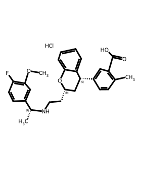 COc1cc([C@@H](C)NCC[C@H]2C[C@@H](c3ccc(C)c(C(=O)O)c3)c3ccccc3O2)ccc1F.Cl